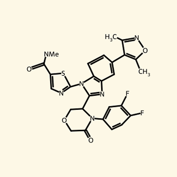 CNC(=O)c1cnc(-n2c(C3COCC(=O)N3c3ccc(F)c(F)c3)nc3cc(-c4c(C)noc4C)ccc32)s1